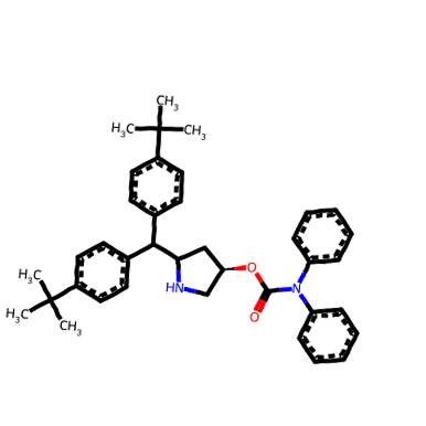 CC(C)(C)c1ccc(C(c2ccc(C(C)(C)C)cc2)C2C[C@@H](OC(=O)N(c3ccccc3)c3ccccc3)CN2)cc1